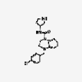 O=C(NC1CCNC1)N1CCN(Cc2ccc(Cl)cc2)c2ccccc21